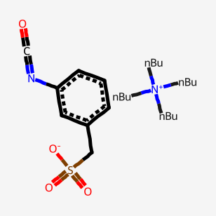 CCCC[N+](CCCC)(CCCC)CCCC.O=C=Nc1cccc(CS(=O)(=O)[O-])c1